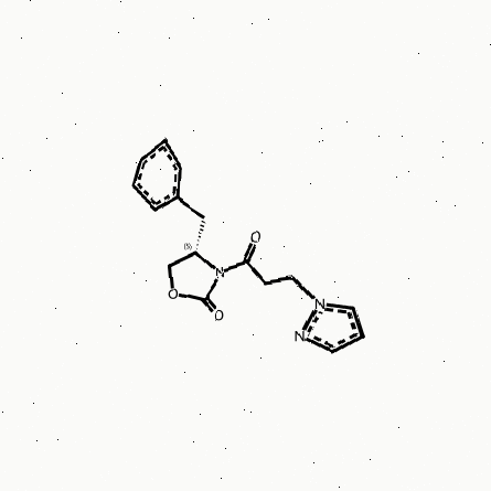 O=C(CCn1cccn1)N1C(=O)OC[C@@H]1Cc1ccccc1